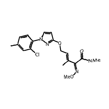 CNC(=O)C(=N/OC)/C(C)=C/COc1ccn(-c2ccc(C)cc2Cl)n1